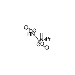 CC(C)CN[C@@H](CCCCNC(=O)OCc1ccccc1)C(=O)OCc1ccccc1